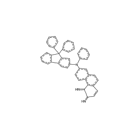 N=C1C=Cc2ccc3cc(N(c4ccccc4)c4ccc5c(c4)C(c4ccccc4)(c4ccccc4)c4ccccc4-5)ccc3c2C1=N